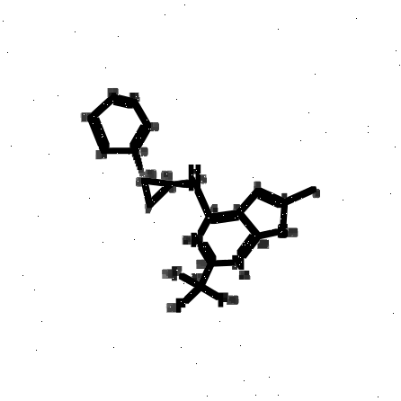 Cc1cc2c(N[C@H]3C[C@@H]3c3ccccc3)nc(C(F)(F)F)nc2s1